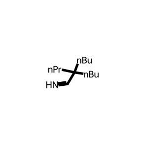 CCCCC(C=N)(CCC)CCCC